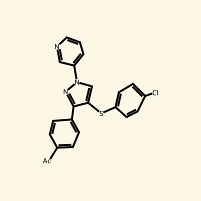 CC(=O)c1ccc(-c2nn(-c3cccnc3)cc2Sc2ccc(Cl)cc2)cc1